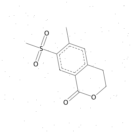 Cc1cc2c(cc1S(C)(=O)=O)C(=O)OCC2